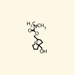 CN(C)C(=O)OCC1CCC2(CO)CCCN12